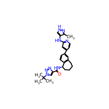 Cc1n[nH]cc1Nc1cc(-c2ccc3c(c2)CCCC[C@H]3NC(=O)c2cn(C(C)(C)C)nn2)ccn1